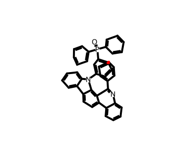 O=P(c1ccccc1)(c1ccccc1)c1cccc(-n2c3ccccc3c3ccc4c5ccccc5nc(-c5ccccc5)c4c32)c1